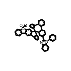 O=S1(=O)c2ccccc2-c2cc3c(cc21)C1(c2ccccc2-c2ccccc2-c2ccc(-c4nc5ccccc5n4-c4ccccc4)cc21)c1ccccc1-3